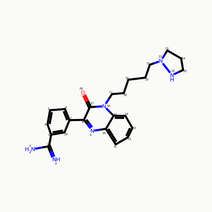 N=C(N)c1cccc(-c2nc3ccccc3n(CCCCCN3CCCN3)c2=O)c1